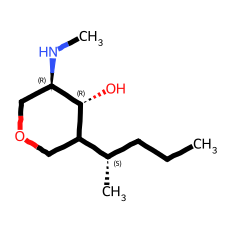 CCC[C@H](C)C1COC[C@@H](NC)[C@@H]1O